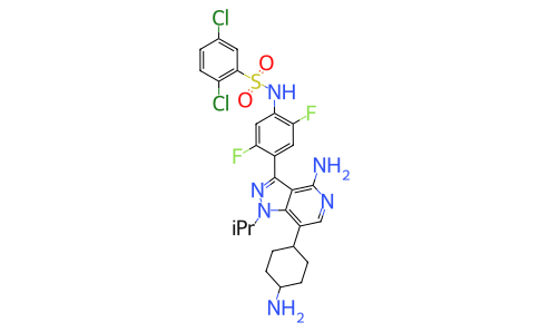 CC(C)n1nc(-c2cc(F)c(NS(=O)(=O)c3cc(Cl)ccc3Cl)cc2F)c2c(N)ncc(C3CCC(N)CC3)c21